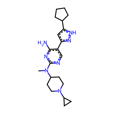 CN(c1ncc(-c2cc(C3CCCC3)[nH]n2)c(N)n1)C1CCN(C2CC2)CC1